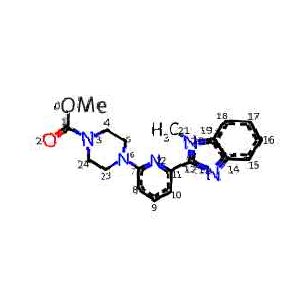 COC(=O)N1CCN(c2cccc(-c3nc4ccccc4n3C)n2)CC1